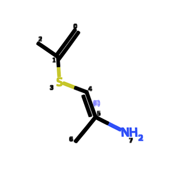 C=C(C)S/C=C(\C)N